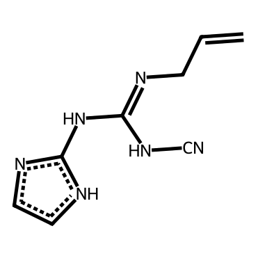 C=CCN=C(NC#N)Nc1ncc[nH]1